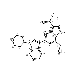 CNc1cc(-c2cn(C3CCOCC3)c3ncccc23)nc2c(C(N)=O)cnn12